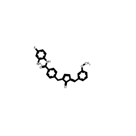 COc1cccc(/C=C2\C=C=C(Cc3ccc(C(=O)Nc4ccc(F)cc4N)cc3)C2=O)c1